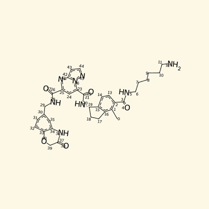 Cc1c(C(=O)NCCCCCCN)ccc2c1CC[C@@H]2NC(=O)c1cc(C(=O)NCc2ccc3c(c2)NC(=O)CO3)nc2ccnn12